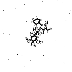 CCN(C#N)C(=O)C(Cc1ccccc1)NC(=O)Nc1cc(OC)c(OC)c(OC)c1